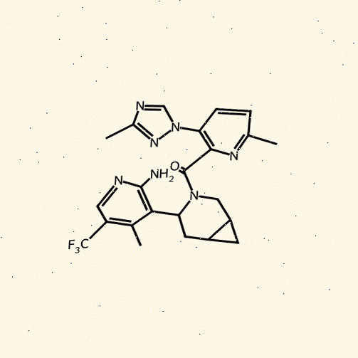 Cc1ccc(-n2cnc(C)n2)c(C(=O)N2CC3CC3CC2c2c(N)ncc(C(F)(F)F)c2C)n1